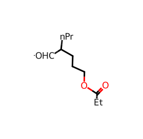 CCCC([C]=O)CCCOC(=O)CC